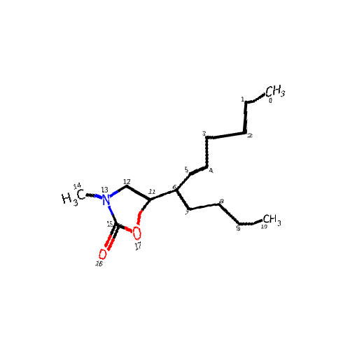 CCCCCCC(CCCC)C1CN(C)C(=O)O1